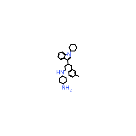 Cc1cccc(CC(CCN[C@H]2CC[C@H](N)CC2)c2cn(C3CCCCC3)c3ccccc23)c1